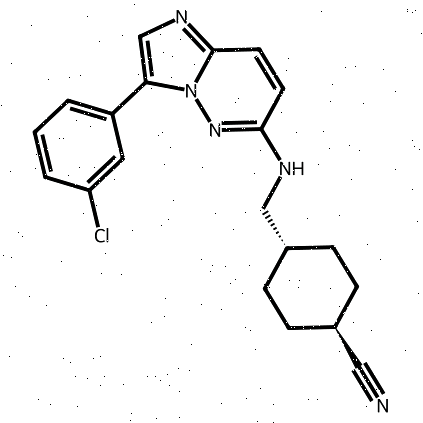 N#C[C@H]1CC[C@H](CNc2ccc3ncc(-c4cccc(Cl)c4)n3n2)CC1